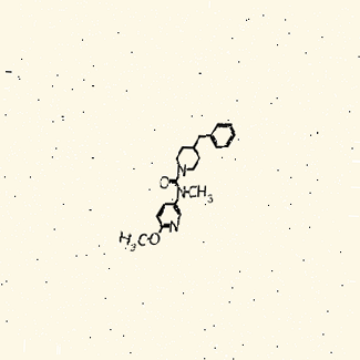 COc1ccc(N(C)C(=O)N2CCC(Cc3ccccc3)CC2)cn1